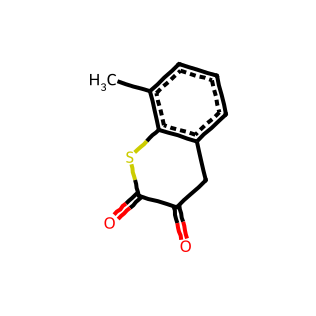 Cc1cccc2c1SC(=O)C(=O)C2